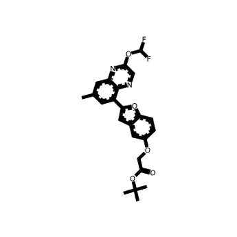 Cc1cc(-c2cc3cc(OCC(=O)OC(C)(C)C)ccc3o2)c2ncc(OC(F)F)nc2c1